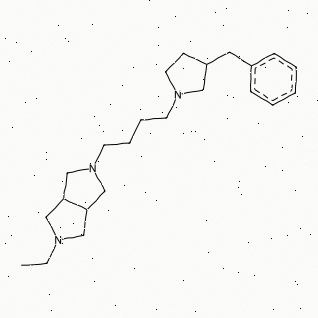 CCN1CC2CN(CCCCN3CCC(Cc4ccccc4)C3)CC2C1